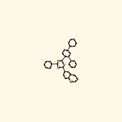 c1ccc(-c2ccc(-c3nc(-c4ccccc4)nc(-c4ccc5ncccc5c4)n3)c(-c3ccccc3)c2)cc1